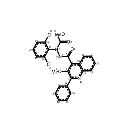 COC(=O)N(NC(=O)c1c(OC)c(-c2ccccc2)nc2ccccc12)c1c(Cl)cccc1Cl